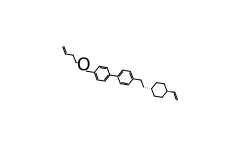 C=CCCOCc1ccc(-c2ccc(CC[C@H]3CC[C@H](C=C)CC3)cc2)cc1